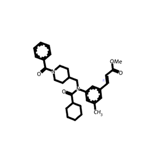 COC(=O)/C=C/c1cc(C)cc(N(CC2CCN(C(=O)c3ccccc3)CC2)C(=O)C2CCCCC2)c1